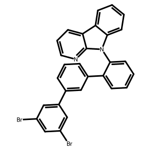 Brc1cc(Br)cc(-c2cccc(-c3ccccc3-n3c4ccccc4c4cccnc43)c2)c1